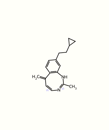 C=C1/C=C\N=C(\C)Nc2cc(CCC3CC3)ccc21